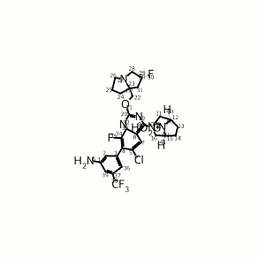 Nc1cc(-c2c(Cl)cc3c(N4C[C@H]5CC[C@@H](C4)N5C(=O)O)nc(OC[C@@]45CCCN4C[C@H](F)C5)nc3c2F)cc(C(F)(F)F)c1